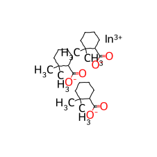 CC1(C)CCCCC1C(=O)[O-].CC1(C)CCCCC1C(=O)[O-].CC1(C)CCCCC1C(=O)[O-].[In+3]